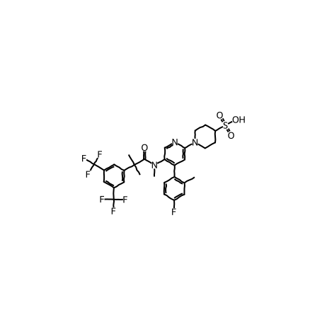 Cc1cc(F)ccc1-c1cc(N2CCC(S(=O)(=O)O)CC2)ncc1N(C)C(=O)C(C)(C)c1cc(C(F)(F)F)cc(C(F)(F)F)c1